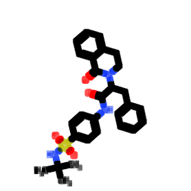 CC(C)(C)NS(=O)(=O)c1ccc(NC(=O)C(Cc2ccccc2)N2CCc3ccccc3C2=O)cc1